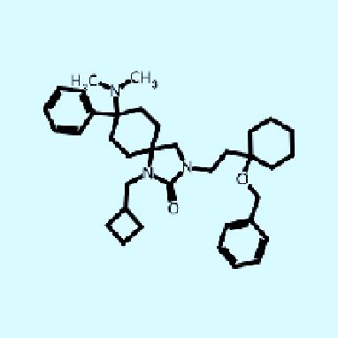 CN(C)C1(c2ccccc2)CCC2(CC1)CN(CCC1(OCc3ccccc3)CCCCC1)C(=O)N2CC1CCC1